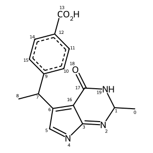 CC1N=C2N=CC(C(C)c3ccc(C(=O)O)cc3)=C2C(=O)N1